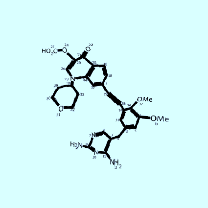 COc1cc(Cc2cnc(N)nc2N)cc(C#Cc2ccc3c(=O)c(OC(=O)O)cn(C4CCOCC4)c3c2)c1OC